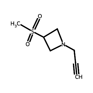 C#CCN1CC(S(C)(=O)=O)C1